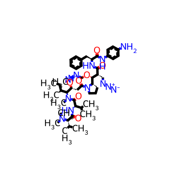 CC[C@H](C)[C@@H]([C@@H](CC(=O)N1CCC[C@H]1[C@H](OCN=[N+]=[N-])[C@@H](CN=[N+]=[N-])C(=O)N[C@@H](Cc1ccccc1)C(=O)Nc1ccc(N)cc1)OC)N(C)C(=O)[C@@H](NC(=O)[C@H](C(C)C)N(C)C)C(C)C